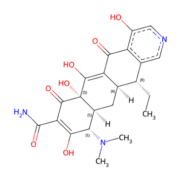 CC[C@H]1c2cncc(O)c2C(=O)C2=C(O)[C@]3(O)C(=O)C(C(N)=O)=C(O)[C@@H](N(C)C)[C@@H]3C[C@@H]21